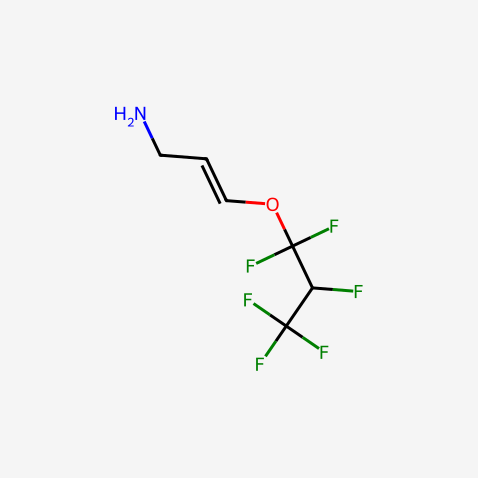 NCC=COC(F)(F)C(F)C(F)(F)F